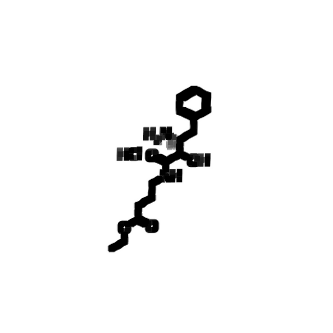 CCOC(=O)CCCNC(=O)C(O)[C@H](N)Cc1ccccc1.Cl